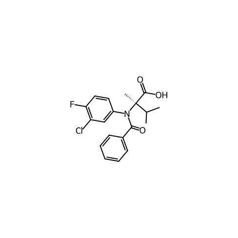 CC(C)[C@](C)(C(=O)O)N(C(=O)c1ccccc1)c1ccc(F)c(Cl)c1